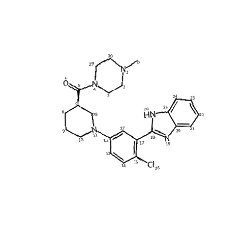 CN1CCN(C(=O)[C@@H]2CCCN(c3ccc(Cl)c(-c4nc5ccccc5[nH]4)c3)C2)CC1